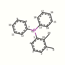 Cc1cccc(P(c2ccccc2)c2ccccc2)c1C